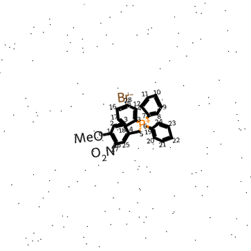 COc1ccc(C[P+](c2ccccc2)(c2ccccc2)c2ccccc2)cc1[N+](=O)[O-].[Br-]